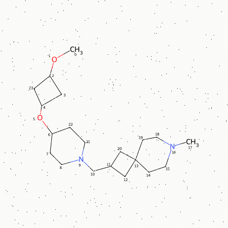 COC1CC(OC2CCN(CC3CC4(CCN(C)CC4)C3)CC2)C1